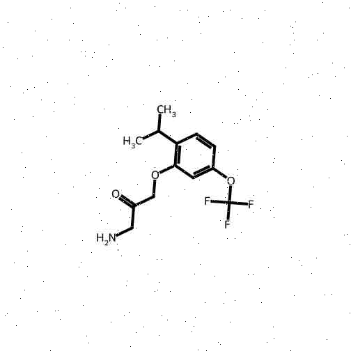 CC(C)c1ccc(OC(F)(F)F)cc1OCC(=O)CN